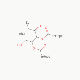 CCCCCCCC(=O)OC(CO)C(OC(=O)CCCCCCC)C(=O)C(CC)CCCC